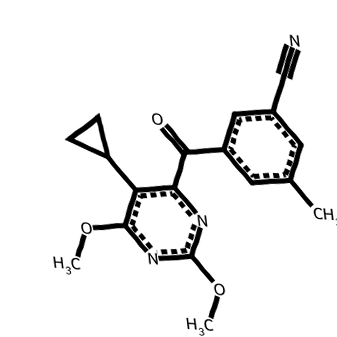 COc1nc(OC)c(C2CC2)c(C(=O)c2cc(C)cc(C#N)c2)n1